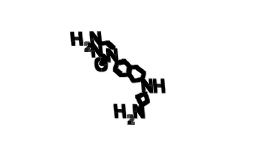 Nc1ccn(-c2ccc3c(c2)CCC(NC2CC(N)C2)C3)c(=O)n1